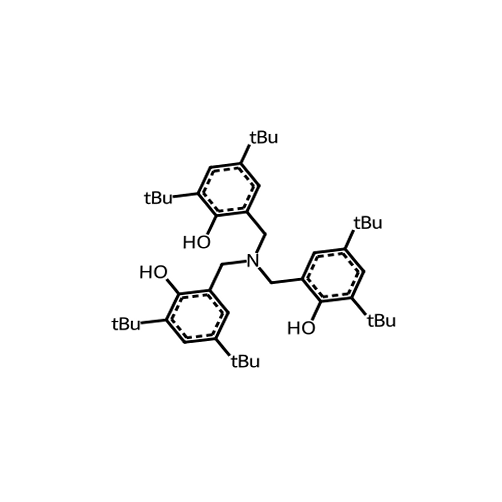 CC(C)(C)c1cc(CN(Cc2cc(C(C)(C)C)cc(C(C)(C)C)c2O)Cc2cc(C(C)(C)C)cc(C(C)(C)C)c2O)c(O)c(C(C)(C)C)c1